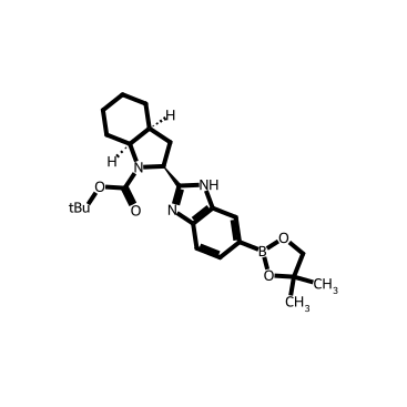 CC(C)(C)OC(=O)N1[C@H](c2nc3ccc(B4OCC(C)(C)O4)cc3[nH]2)C[C@@H]2CCCC[C@@H]21